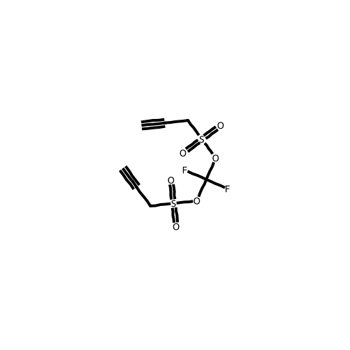 C#CCS(=O)(=O)OC(F)(F)OS(=O)(=O)CC#C